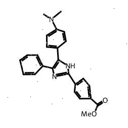 COC(=O)c1ccc(-c2nc(-c3ccccc3)c(-c3ccc(N(C)C)cc3)[nH]2)cc1